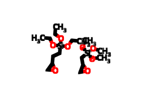 CCO[Si](CCC1CO1)(OCC)OCC.CO[Si](CC1CO1)(OC)OC